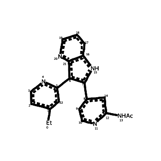 CCc1ccnc(-c2c(-c3ccnc(NC(C)=O)c3)[nH]c3cccnc23)c1